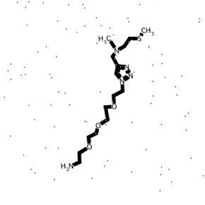 CSCCN(C)Cc1cn(CCOCCOCCOCCN)nn1